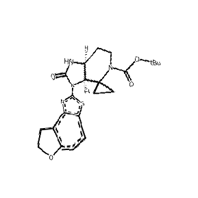 CC(C)(C)OC(=O)N1CC[C@@H]2NC(=O)N(c3nc4c5c(ccc4s3)OCC5)[C@@H]2C12CC2